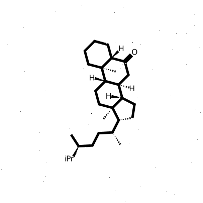 CC(C)[C@@H](C)CC[C@@H](C)[C@H]1CC[C@H]2[C@@H]3CC(=O)[C@H]4CCCC[C@]4(C)[C@H]3CC[C@]12C